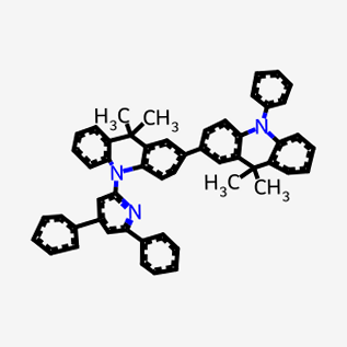 CC1(C)c2ccccc2N(c2ccccc2)c2ccc(-c3ccc4c(c3)C(C)(C)c3ccccc3N4c3cc(-c4ccccc4)cc(-c4ccccc4)n3)cc21